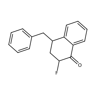 O=C1c2ccccc2C(Cc2ccccc2)CC1F